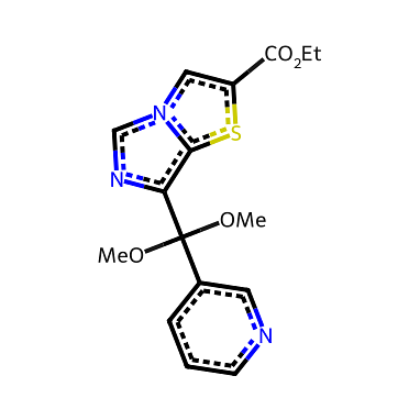 CCOC(=O)c1cn2cnc(C(OC)(OC)c3cccnc3)c2s1